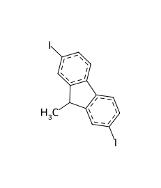 CC1c2cc(I)ccc2-c2ccc(I)cc21